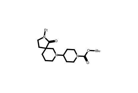 CCN1CCC2(CCCN(C3CCN(C(=O)OC(C)(C)C)CC3)C2)C1=O